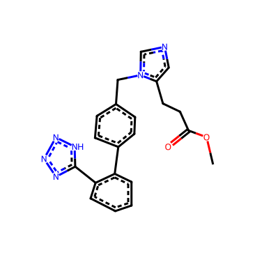 COC(=O)CCc1cncn1Cc1ccc(-c2ccccc2-c2nnn[nH]2)cc1